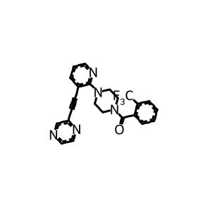 O=C(c1ccccc1C(F)(F)F)N1CCN(c2ncccc2C#Cc2cnccn2)CC1